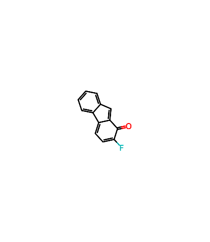 O=C1C(F)=CC=C2C1=Cc1ccccc12